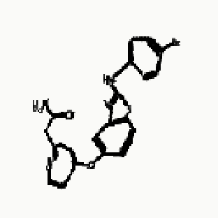 NC(=O)Cc1cc(Oc2ccc3sc(Nc4ccc(Br)cc4)nc3c2)ccn1